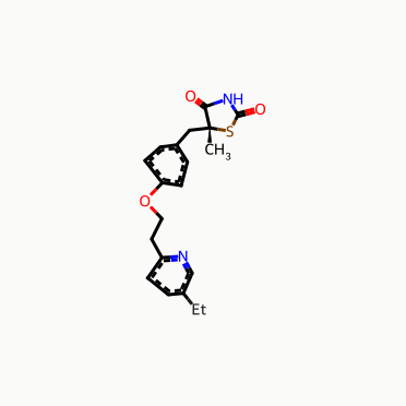 CCc1ccc(CCOc2ccc(C[C@@]3(C)SC(=O)NC3=O)cc2)nc1